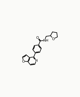 O=C(NCC1CCCO1)c1ccc(-c2nccc3occc23)cc1